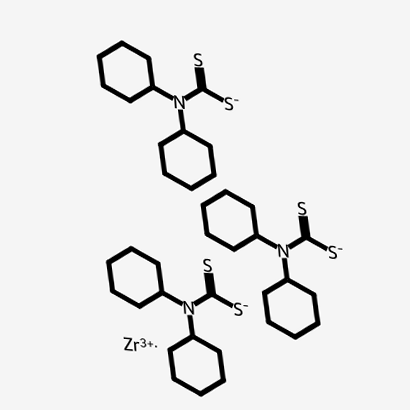 S=C([S-])N(C1CCCCC1)C1CCCCC1.S=C([S-])N(C1CCCCC1)C1CCCCC1.S=C([S-])N(C1CCCCC1)C1CCCCC1.[Zr+3]